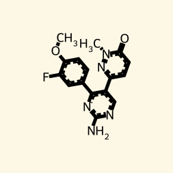 COc1ccc(-c2nc(N)ncc2-c2ccc(=O)n(C)n2)cc1F